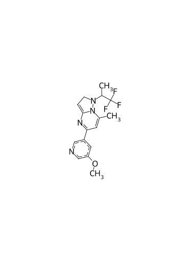 COc1cncc(C2=NC3=CCN(C(C)C(F)(F)F)N3C(C)=C2)c1